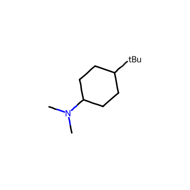 CN(C)C1CCC(C(C)(C)C)CC1